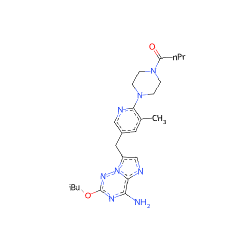 CCCC(=O)N1CCN(c2ncc(Cc3cnc4c(N)nc(O[C@@H](C)CC)nn34)cc2C)CC1